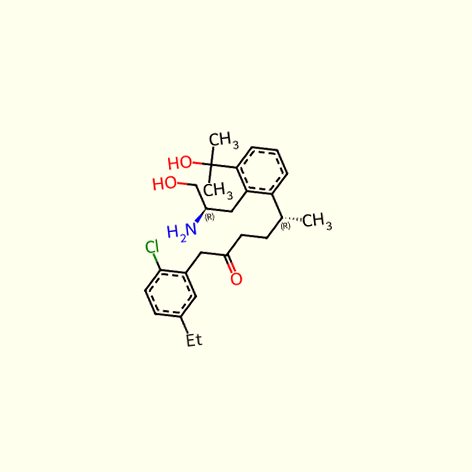 CCc1ccc(Cl)c(CC(=O)CC[C@@H](C)c2cccc(C(C)(C)O)c2C[C@@H](N)CO)c1